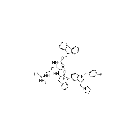 N=C(N)NCCCC(NC(=O)OCC1c2ccccc2-c2ccccc21)C(=O)NC(Cc1ccccc1)C(=O)Nc1ccc2c(c1)c(CN1CCCC1)cn2Cc1ccc(F)cc1